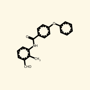 Cc1c(C=O)cccc1NC(=O)c1ccc(Oc2ccccc2)cc1